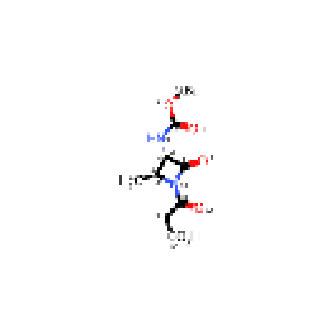 C[C@H]1[C@H](NC(=O)OC(C)(C)C)C(=O)N1C(=O)CC(=O)O